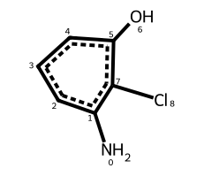 Nc1cccc(O)c1Cl